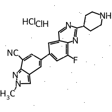 Cl.Cl.Cn1cc2cc(-c3cc(F)c4nc(C5CCNCC5)ncc4c3)cc(C#N)c2n1